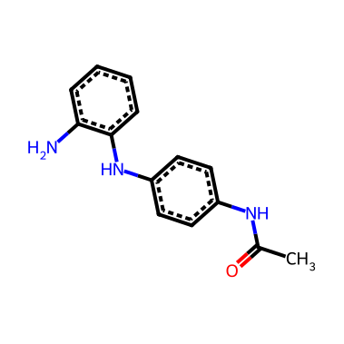 CC(=O)Nc1ccc(Nc2ccccc2N)cc1